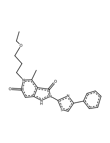 CCOCCCn1c(C)c2c(=O)n(-c3nc(-c4ccccc4)cs3)[nH]c2cc1=O